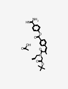 C=CCN(CC(=O)OC(C)(C)C)C(=O)C(C)=Cc1ccc(C(=O)Oc2ccc(C(=N)N)cc2)cc1.CC(=O)O